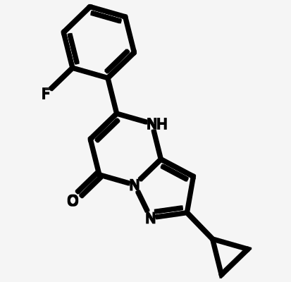 O=c1cc(-c2ccccc2F)[nH]c2cc(C3CC3)nn12